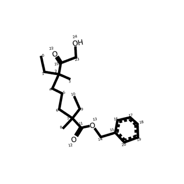 CCC(C)(CCCC(C)(CC)C(=O)OCc1ccccc1)C(=O)CO